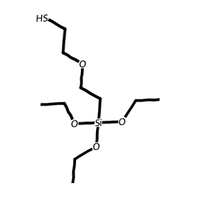 CCO[Si](CCOCCS)(OCC)OCC